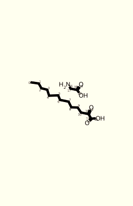 CCCCCCCCCCCC(=O)C(=O)O.NCC(=O)O